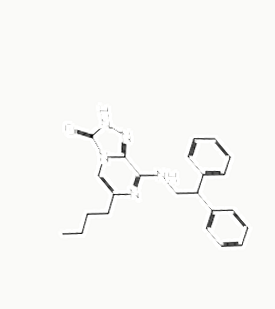 CCCCc1cn2c(=O)[nH]nc2c(NCC(c2ccccc2)c2ccccc2)n1